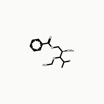 CO[C@H](COC(=O)c1ccccc1)C(OCO)C(C)F